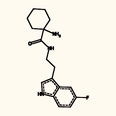 NC1(C(=O)NCCc2c[nH]c3ccc(F)cc23)CCCCC1